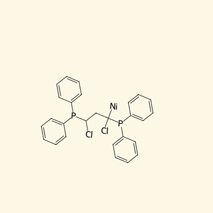 ClC(C[C](Cl)([Ni])P(c1ccccc1)c1ccccc1)P(c1ccccc1)c1ccccc1